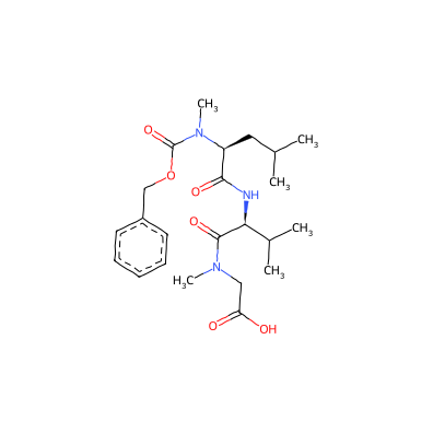 CC(C)C[C@@H](C(=O)N[C@H](C(=O)N(C)CC(=O)O)C(C)C)N(C)C(=O)OCc1ccccc1